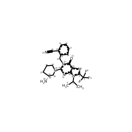 CC(C)n1c(C(F)(F)F)nc2c(=O)n(Cc3ccccc3C#N)c(N3CCC[C@@H](N)C3)nc21